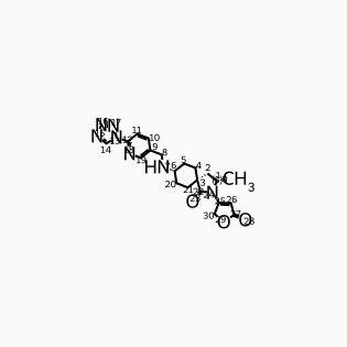 C[C@H]1C[C@]2(CC[C@@H](NCc3ccc(-n4cnnn4)nc3)CC2)C(=O)N1C1=CC(=O)OC1